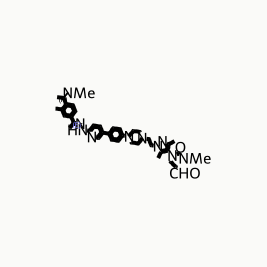 CNC(=O)N(CCC=O)c1c(C)nn(CCN2CCN(c3ccc(-c4ccc(N/N=C(\C)c5ccc([C@@H](C)NC)c(C)c5)nc4)cc3)CC2)c1C